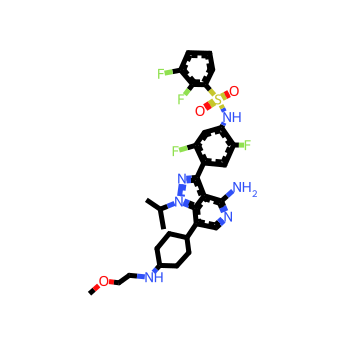 COCCNC1CCC(c2cnc(N)c3c(-c4cc(F)c(NS(=O)(=O)c5cccc(F)c5F)cc4F)nn(C(C)C)c23)CC1